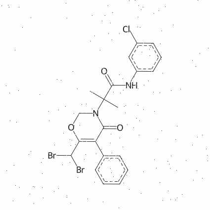 CC(C)(C(=O)Nc1cccc(Cl)c1)N1COC(C(Br)Br)=C(c2ccccc2)C1=O